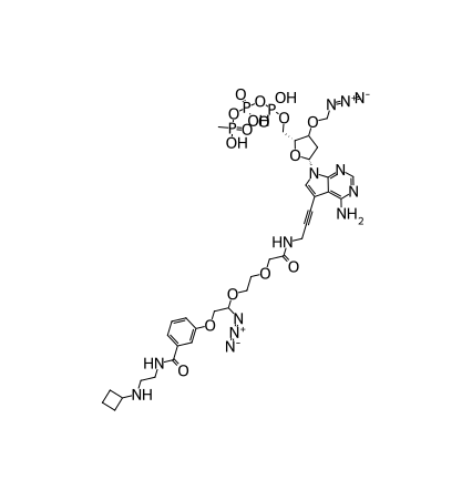 CP(=O)(O)OP(=O)(O)OP(=O)(O)OC[C@H]1O[C@@H](n2cc(C#CCNC(=O)COCCOC(COc3cccc(C(=O)NCCNC4CCC4)c3)N=[N+]=[N-])c3c(N)ncnc32)CC1OCN=[N+]=[N-]